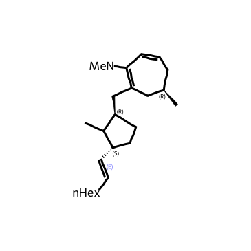 CCCCCC/C=C/[C@H]1CC[C@H](CC2=C(NC)C=CC[C@@H](C)C2)C1C